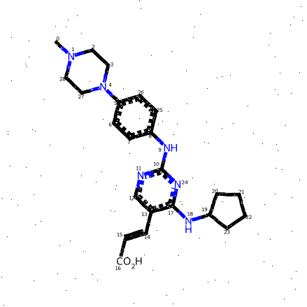 CN1CCN(c2ccc(Nc3ncc(C=CC(=O)O)c(NC4CCCC4)n3)cc2)CC1